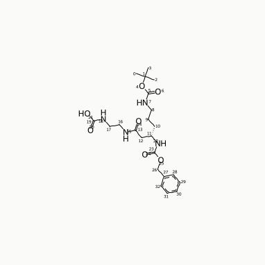 CC(C)(C)OC(=O)NCCC[C@@H](CC(=O)NCCNC(=O)O)NC(=O)OCc1ccccc1